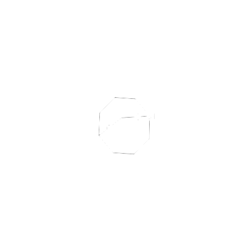 C1CC2CCC[SiH](C1)CCC2